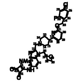 CNc1c(Nc2ccc3c(c2)nc(CN2CCC(c4cccc(OCc5ccc(Cl)cc5F)n4)CC2)n3C[C@@H]2CCO2)c(=O)c1=O